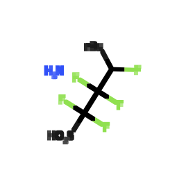 CCCCC(F)C(F)(F)C(F)(F)S(=O)(=O)O.N